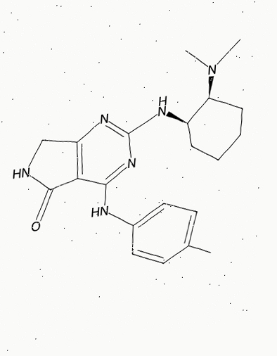 Cc1ccc(Nc2nc(N[C@@H]3CCCC[C@@H]3N(C)C)nc3c2C(=O)NC3)cc1